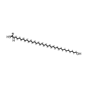 OCCCCCCCCCCCCCCCCCCCCCCCCCCCCCCCCCNC(=S)S